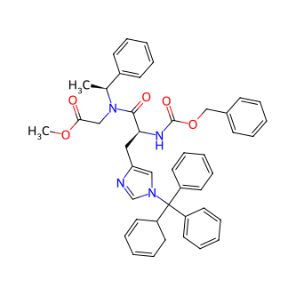 COC(=O)CN(C(=O)[C@H](Cc1cn(C(c2ccccc2)(c2ccccc2)C2C=CC=CC2)cn1)NC(=O)OCc1ccccc1)[C@@H](C)c1ccccc1